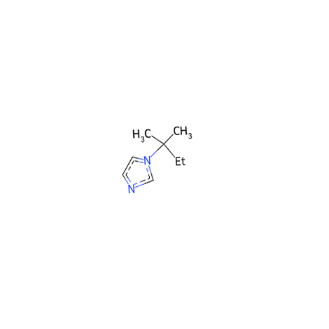 CCC(C)(C)n1ccnc1